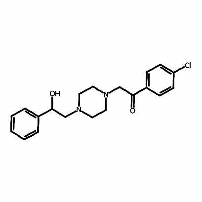 O=C(CN1CCN(CC(O)c2ccccc2)CC1)c1ccc(Cl)cc1